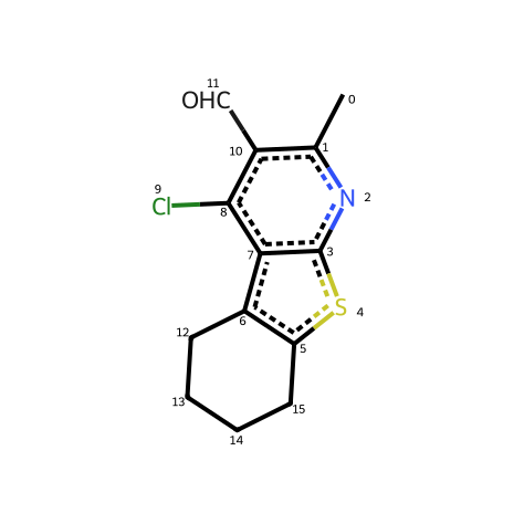 Cc1nc2sc3c(c2c(Cl)c1C=O)CCCC3